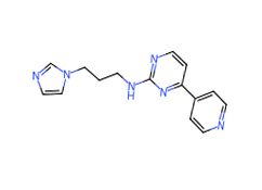 c1cc(-c2ccnc(NCCCn3ccnc3)n2)ccn1